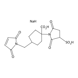 O=C1C=CC(=O)N1CC1CCC(C(=O)O)(N2C(=O)CC(S(=O)(=O)O)C2=O)CC1.[NaH]